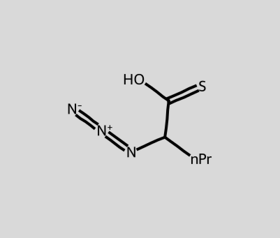 CCCC(N=[N+]=[N-])C(O)=S